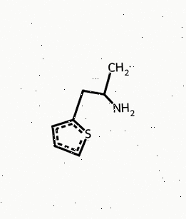 [CH2]C(N)Cc1cccs1